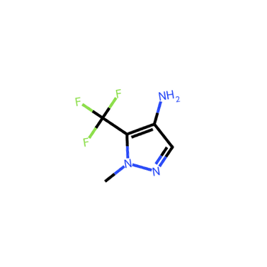 Cn1ncc(N)c1C(F)(F)F